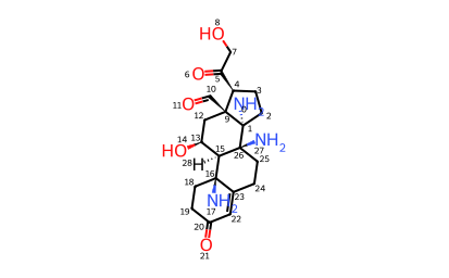 N[C@@]12CC[C@H](C(=O)CO)[C@@]1(C=O)C[C@H](O)[C@@H]1[C@@]3(N)CCC(=O)C=C3CC[C@]12N